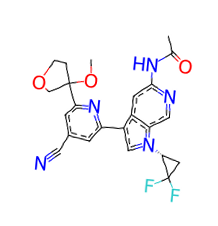 COC1(c2cc(C#N)cc(-c3cn([C@@H]4CC4(F)F)c4cnc(NC(C)=O)cc34)n2)CCOC1